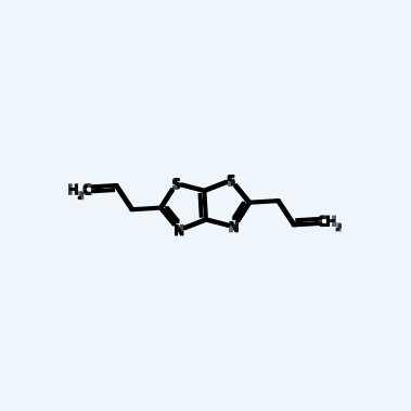 C=CCc1nc2nc(CC=C)sc2s1